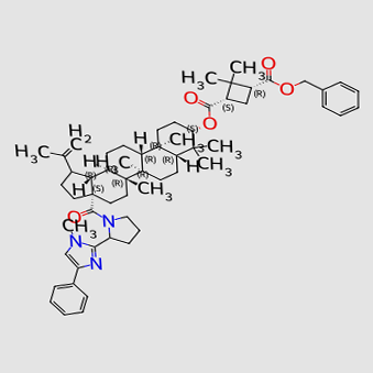 C=C(C)C1CC[C@]2(C(=O)N3CCCC3c3nc(-c4ccccc4)cn3C)CC[C@]3(C)[C@H](CC[C@@H]4[C@@]5(C)CC[C@H](OC(=O)[C@H]6C[C@@H](C(=O)OCc7ccccc7)C6(C)C)C(C)(C)[C@@H]5CC[C@]43C)[C@@H]12